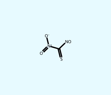 O=NC(=S)[N+](=O)[O-]